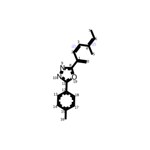 C=C(/C=C\C(C)=C/C)c1nnc(-c2ccc(C)cc2)o1